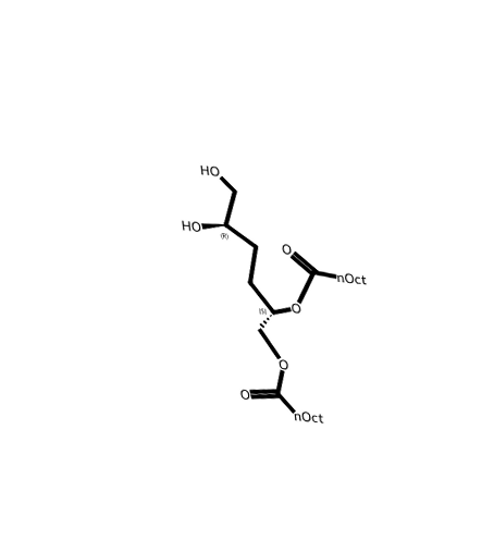 CCCCCCCCC(=O)OC[C@H](CC[C@@H](O)CO)OC(=O)CCCCCCCC